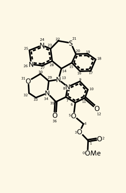 COC(=O)OCOc1c2n(ccc1=O)N(C1c3ccccc3SCc3ncncc31)C1COCCN1C2=O